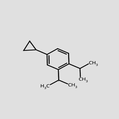 C[C](C)c1cc(C2CC2)ccc1C(C)C